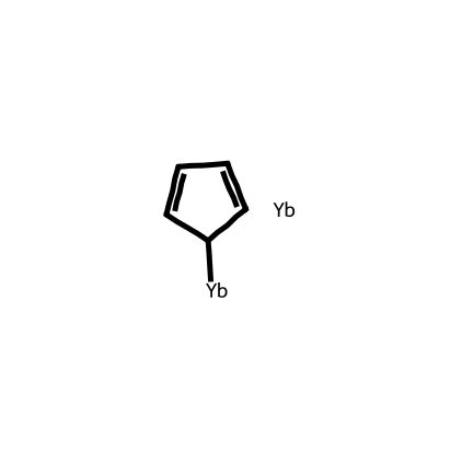 [Yb].[Yb][CH]1C=CC=C1